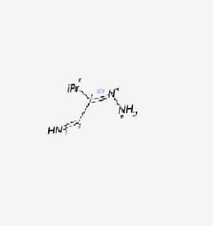 CC(C)/C(C=N)=N/N